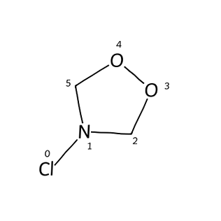 ClN1COOC1